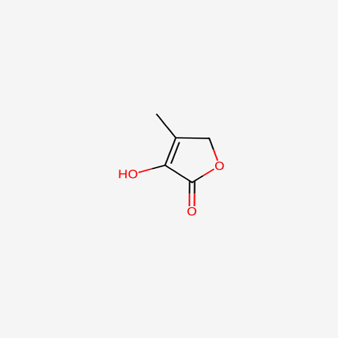 CC1=C(O)C(=O)OC1